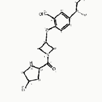 BC[C@H](C)c1ccc(OC2CN(C(=O)C3CC(CC)CN3)C2)c(C=O)c1